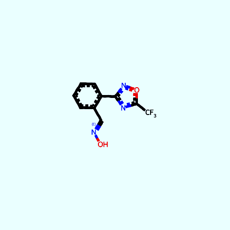 O/N=C/c1ccccc1-c1noc(C(F)(F)F)n1